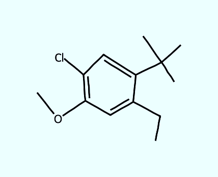 CCc1cc(OC)c(Cl)cc1C(C)(C)C